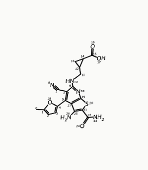 Cc1ccc(-c2c(C#N)c(NCC3CC3C(=O)O)nc3sc(C(N)=O)c(N)c23)o1